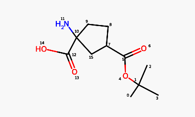 CC(C)(C)OC(=O)C1CCC(N)(C(=O)O)C1